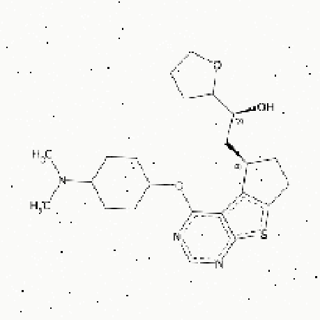 CN(C)C1CCC(Oc2ncnc3sc4c(c23)[C@@H](C[C@H](O)C2CCCO2)CC4)CC1